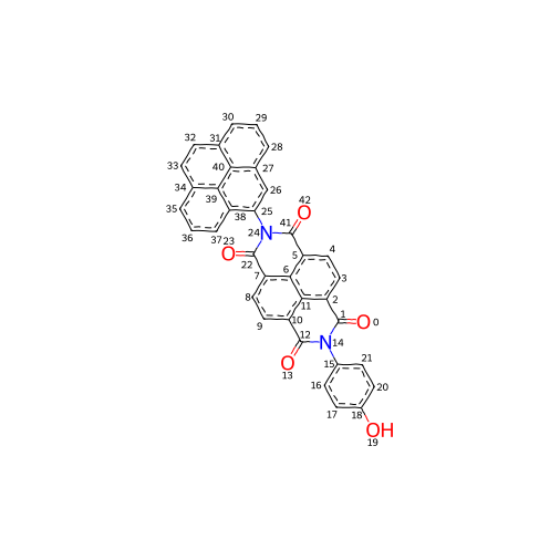 O=C1c2ccc3c4c(ccc(c24)C(=O)N1c1ccc(O)cc1)C(=O)N(c1cc2cccc4ccc5cccc1c5c42)C3=O